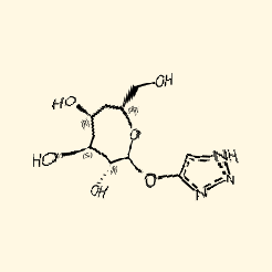 OC[C@H]1OC(Oc2c[nH]nn2)[C@H](O)[C@@H](O)[C@H]1O